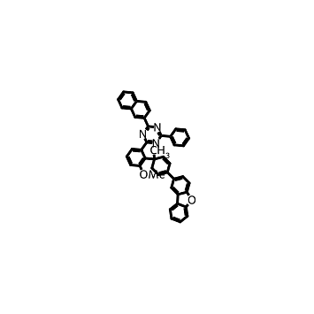 COc1cccc(-c2nc(-c3ccccc3)nc(-c3ccc4ccccc4c3)n2)c1C1(C)C=CC(c2ccc3oc4ccccc4c3c2)=CC1